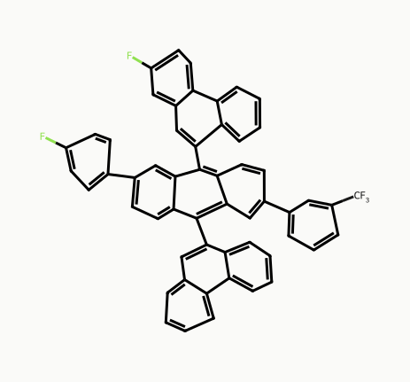 Fc1ccc(-c2ccc3c(-c4cc5ccccc5c5ccccc45)c4cc(-c5cccc(C(F)(F)F)c5)ccc4c(-c4cc5cc(F)ccc5c5ccccc45)c3c2)cc1